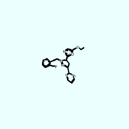 CCOc1cnc(C2CC(C3N=CC=CN3)=NN2Cc2ccccc2F)o1